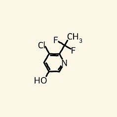 CC(F)(F)c1ncc(O)cc1Cl